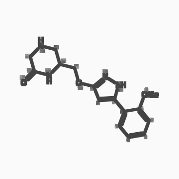 COc1ccccc1-c1cc(OCC2CNCC(=O)N2)n[nH]1